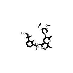 CO[C@H]1CN(c2cc3c(N[C@H](C)c4cccc(C(F)(F)CO)c4F)nnc(C)c3nc2C)C[C@H]1OC